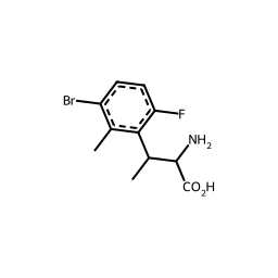 Cc1c(Br)ccc(F)c1C(C)C(N)C(=O)O